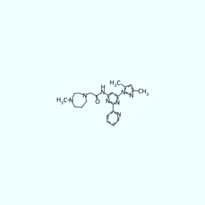 Cc1cc(C)n(-c2cc(NC(=O)CN3CCCN(C)CC3)nc(-c3ccccn3)n2)n1